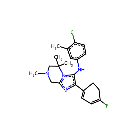 Cc1cc(Nc2c(C3=CC=C(F)CC3)nc3n2C(C)(C)CN(C)C3)ccc1Cl